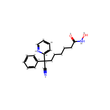 N#CC(CCCCCC(=O)NO)(c1ccccc1)c1ccccn1